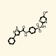 COc1cnc(NS(=O)(=O)c2ccc(NC(=O)c3cc(-c4ccccc4)nn3C)cc2)nc1